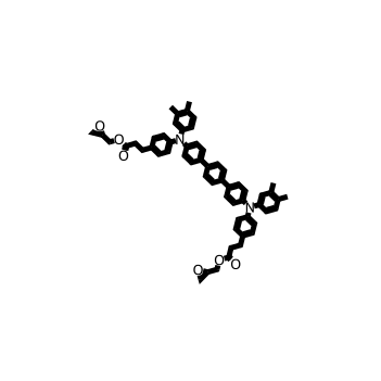 Cc1ccc(N(c2ccc(CCC(=O)OCC3CO3)cc2)c2ccc(-c3ccc(-c4ccc(N(c5ccc(CCC(=O)OCC6CO6)cc5)c5ccc(C)c(C)c5)cc4)cc3)cc2)cc1C